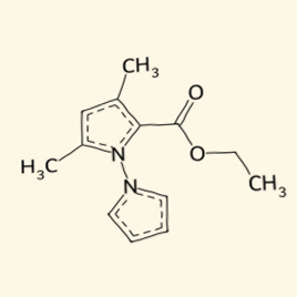 CCOC(=O)c1c(C)cc(C)n1-n1cccc1